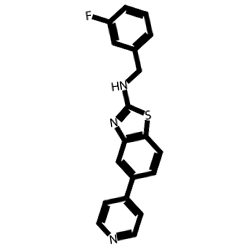 Fc1cccc(CNc2nc3cc(-c4ccncc4)ccc3s2)c1